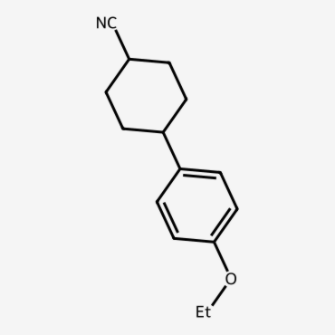 CCOc1ccc(C2CCC(C#N)CC2)cc1